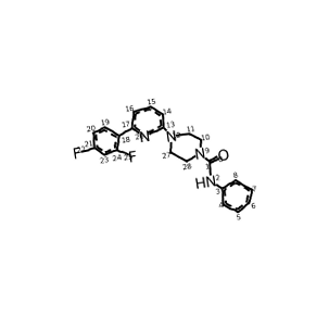 O=C(Nc1ccccc1)N1CCN(c2cccc(-c3ccc(F)cc3F)n2)CC1